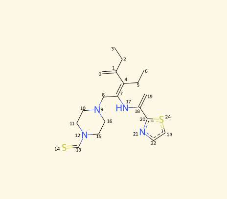 C=C(CC)/C(CC)=C(\CN1CCN(C=S)CC1)NC(=C)c1nccs1